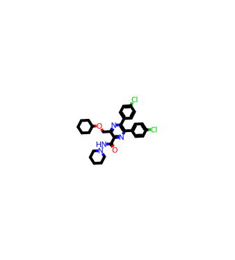 O=C(NN1CCCCC1)c1nc(-c2ccc(Cl)cc2)c(-c2ccc(Cl)cc2)nc1COC1CCCCC1